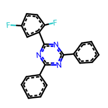 Fc1ccc(F)c(-c2nc(-c3ccccc3)nc(-c3ccccc3)n2)c1